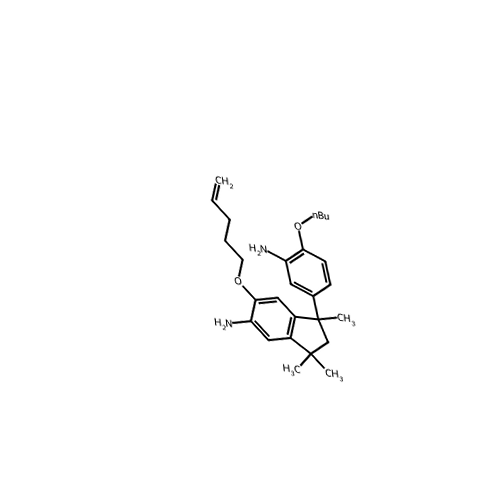 C=CCCCOc1cc2c(cc1N)C(C)(C)CC2(C)c1ccc(OCCCC)c(N)c1